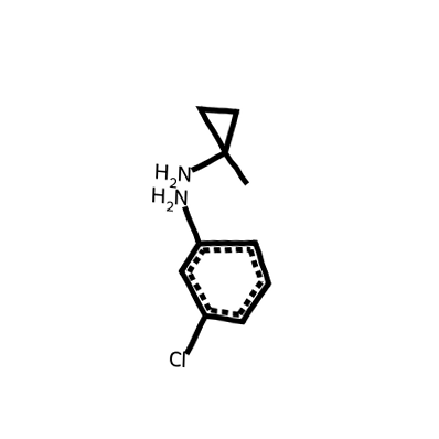 CC1(N)CC1.Nc1cccc(Cl)c1